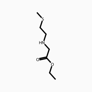 CCOC(=O)CNCCSC